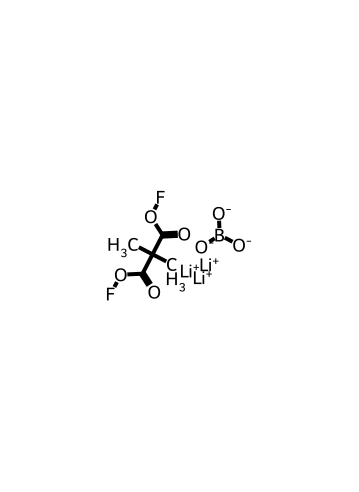 CC(C)(C(=O)OF)C(=O)OF.[Li+].[Li+].[Li+].[O-]B([O-])[O-]